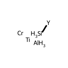 [AlH3].[Cr].[SiH3][Y].[Ti]